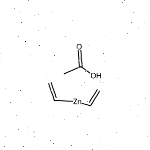 C=[CH][Zn][CH]=C.CC(=O)O